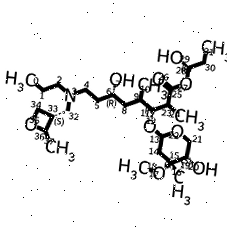 CCCN(CC[C@H](O)CC(C)[C@@H](OC1C[C@@](C)(OC)[C@@H](O)CO1)C(C)C(=O)O[C@@H](O)CC)C[C@H]1COC1C